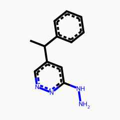 CC(c1ccccc1)c1cnnc(NN)c1